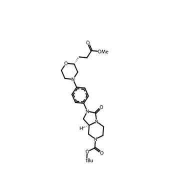 COC(=O)CC[C@@H]1CN(c2ccc(N3C[C@@H]4CN(C(=O)OC(C)(C)C)CCN4C3=O)cc2)CCO1